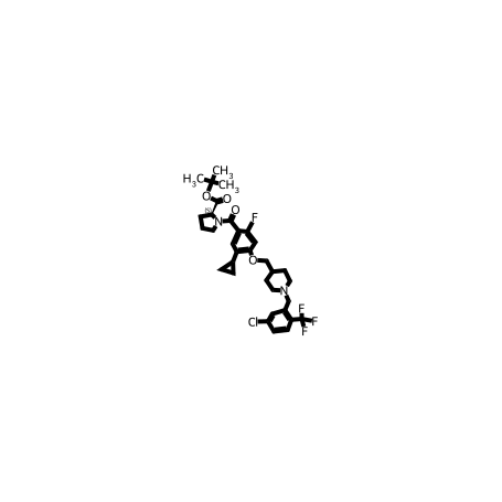 CC(C)(C)OC(=O)[C@@H]1CCCN1C(=O)c1cc(C2CC2)c(OCC2CCN(Cc3cc(Cl)ccc3C(F)(F)F)CC2)cc1F